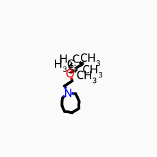 CC(C)(C)[Si](C)(C)OCCN1CCCCCCC1